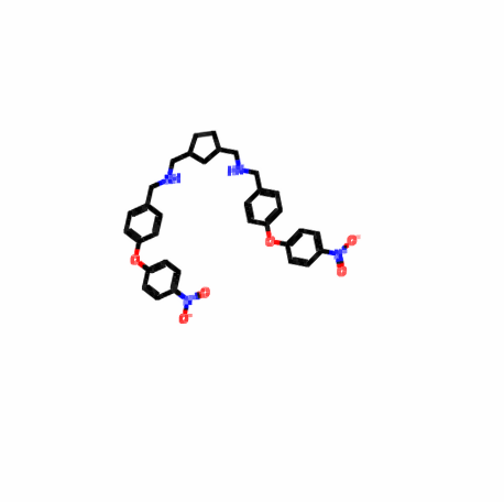 O=[N+]([O-])c1ccc(Oc2ccc(CNCC3CCC(CNCc4ccc(Oc5ccc([N+](=O)[O-])cc5)cc4)C3)cc2)cc1